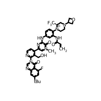 C=CC(=O)Nc1cc(Nc2nc(-c3ccnc(-n4cnc5cc(C(C)(C)C)cc(F)c5c4=O)c3CO)cn(C)c2=O)ccc1N1CCN(C2COC2)C[C@@H]1C(F)(F)F